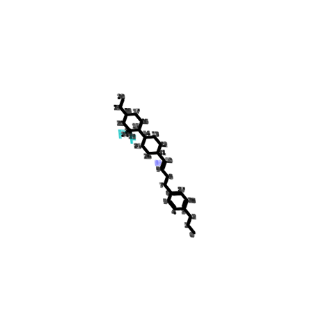 CCCc1ccc(CC/C=C/C2CCC(C3CCC(CC)CC3(F)F)CC2)cc1